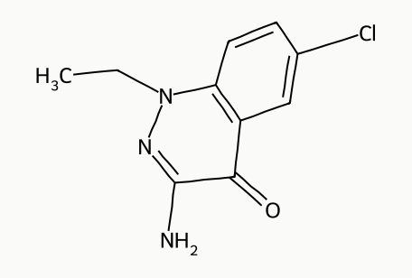 CCn1nc(N)c(=O)c2cc(Cl)ccc21